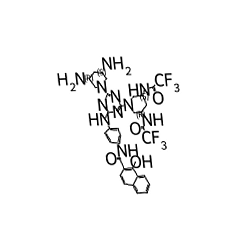 N[C@@H]1C[C@H](N)CN(c2nc(Nc3ccc(NC(=O)c4ccc5ccccc5c4O)cc3)nc(N3C[C@H](NC(=O)C(F)(F)F)C[C@H](NC(=O)C(F)(F)F)C3)n2)C1